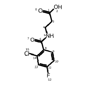 O=C(O)CCNC(=O)c1ccc(F)cc1Cl